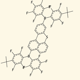 CC(C)(C)c1c(F)c(F)c(B(c2ccc3c(c2)Sc2cccc4c(B(c5c(F)c(F)c(F)c(F)c5F)c5c(F)c(F)c(C(C)(C)C)c(F)c5F)ccc-3c24)c2c(F)c(F)c(F)c(F)c2F)c(F)c1F